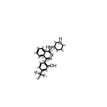 Oc1cc(C(F)(F)F)ccc1-c1nnc(NC2CCCNC2)c2ccccc12